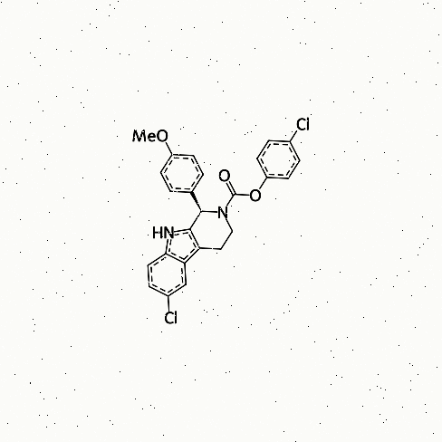 COc1ccc([C@@H]2c3[nH]c4ccc(Cl)cc4c3CCN2C(=O)Oc2ccc(Cl)cc2)cc1